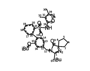 CCCCC1=NC2(CCCC2)C(=O)N1Cc1ccc(-c2ccccc2S(=O)(=O)Nc2onc(C)c2C)c(OC(C)CC)c1